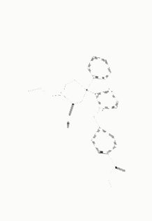 CCON1CCC(c2ccccc2)(c2nccn2Cc2ccc(C(=O)OC)cc2)CC1=C=O